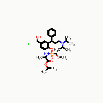 COCP(=O)(NC(C)C(=O)OC(C)C)Oc1ccc(CO)cc1C(CCN(C(C)C)C(C)C)c1ccccc1.Cl